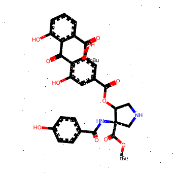 CCCCOC(=O)c1cccc(O)c1C(=O)c1c(O)cc(C(=O)OC2CNCC2(NC(=O)c2ccc(O)cc2)C(=O)OC(C)(C)C)cc1O